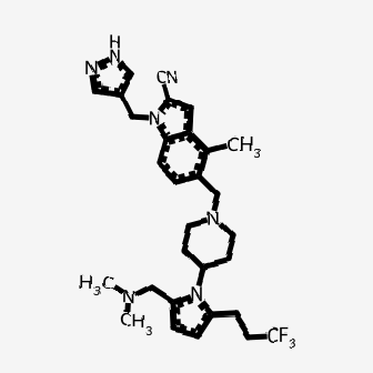 Cc1c(CN2CCC(n3c(CCC(F)(F)F)ccc3CN(C)C)CC2)ccc2c1cc(C#N)n2Cc1cn[nH]c1